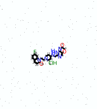 Cl.O=C1COC2=CN=C(CNC3CCN(CCn4c(=O)ccc5ccc(F)cc54)CC3)NC2=N1